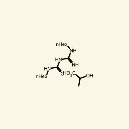 CC(O)C(=O)O.CCCCCCNC(=N)NC(=O)NCCCCCC